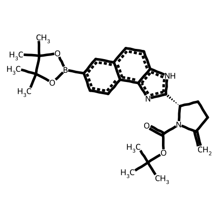 C=C1CC[C@@H](c2nc3c(ccc4cc(B5OC(C)(C)C(C)(C)O5)ccc43)[nH]2)N1C(=O)OC(C)(C)C